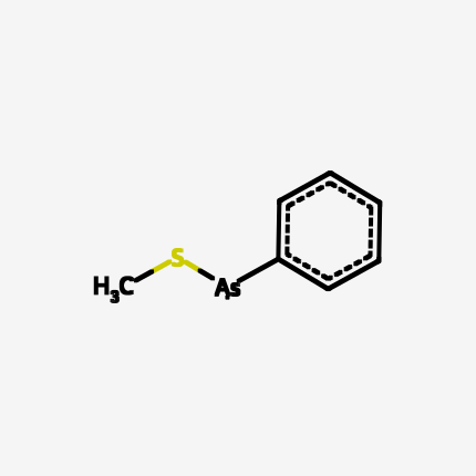 CS[As]c1ccccc1